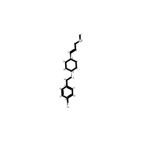 COC/C=C/[C@H]1CC[C@H](CCc2ccc(F)cc2)CC1